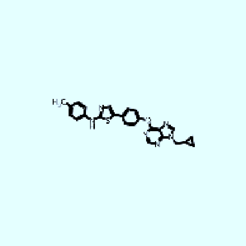 Cc1ccc(Nc2ncc(-c3ccc(Oc4ncnc5c4ncn5CC4CC4)cc3)s2)cc1